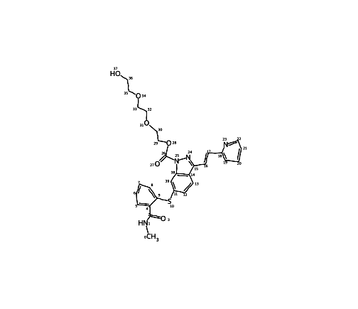 CNC(=O)c1ccccc1Sc1ccc2c(/C=C/c3ccccn3)nn(C(=O)OCCOCCOCCO)c2c1